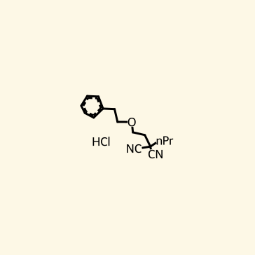 CCCC(C#N)(C#N)CCOCCc1ccccc1.Cl